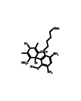 CCCCCCCCCCCCCCCc1c(N)cc(N)c(OC(C)C)c1C1(C(C)C)C(C(=O)O)=C(C)N(C(C)C)C(C)=C1C(=O)O